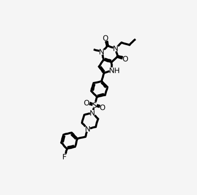 CCCn1c(=O)c2[nH]c(-c3ccc(S(=O)(=O)N4CCN(Cc5cccc(F)c5)CC4)cc3)cc2n(C)c1=O